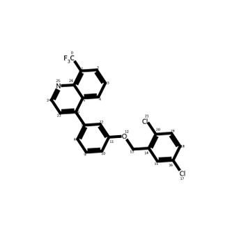 FC(F)(F)c1cccc2c(-c3cccc(OCc4cc(Cl)ccc4Cl)c3)ccnc12